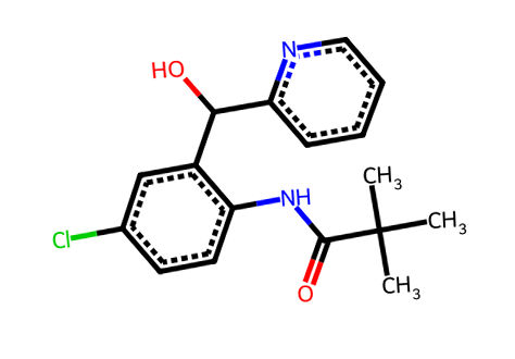 CC(C)(C)C(=O)Nc1ccc(Cl)cc1C(O)c1ccccn1